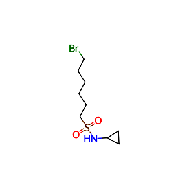 O=S(=O)(CCCCCCBr)NC1CC1